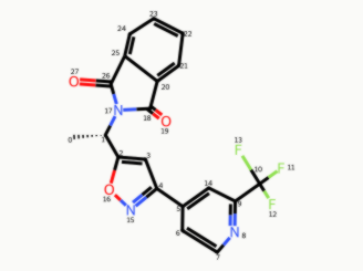 C[C@@H](c1cc(-c2ccnc(C(F)(F)F)c2)no1)N1C(=O)c2ccccc2C1=O